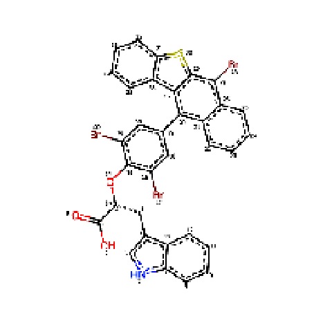 O=C(O)[C@@H](Cc1c[nH]c2ccccc12)Oc1c(Br)cc(-c2c3ccccc3c(Br)c3sc4ccccc4c23)cc1Br